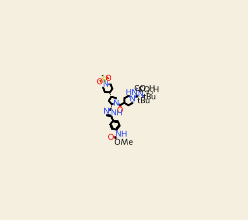 COC(=O)Nc1ccc(-c2cnc([C@@H]3C[C@H](C4CCN(S(C)(=O)=O)CC4)CN3C(=O)C3CCN(C(NC(=O)O)(N(C(=O)O)C(C)(C)C)C(C)(C)C)CC3)[nH]2)cc1